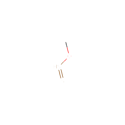 CO[SH]=S